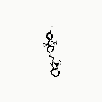 O=C(c1ccc(F)cc1)C1(O)CCN(CCn2nc3n(c2=O)CCCCC3)CC1